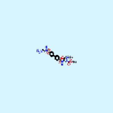 COC(=O)[C@H](CNC(=O)OC(C)(C)C)NS(=O)(=O)c1ccc(-c2ccc(S(=O)(=O)NCCN)cc2)cc1